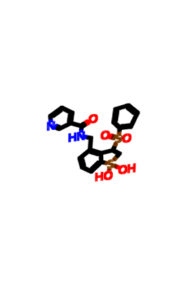 O=C(NCc1cccc2c1C(S(=O)(=O)c1ccccc1)CS2(O)O)c1cccnc1